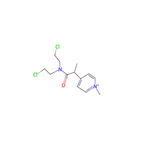 CC(C(=O)N(CCCl)CCCl)c1cc[n+](C)cc1